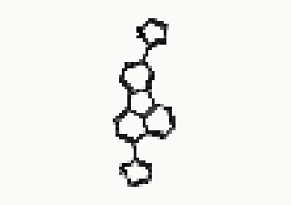 c1csc(-c2ccc3c(c2)-c2cccc4c(-c5cccs5)ccc-3c24)c1